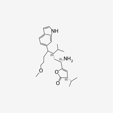 COCCCC(c1ccc2cc[nH]c2c1)[C@@H](C[C@H](N)C1=C[C@H](C(C)C)C(=O)O1)C(C)C